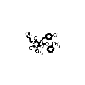 Cc1ccccc1Oc1nc2c(c(=O)n(CCCO)c(=O)n2C)n1Cc1ccc(Cl)cc1